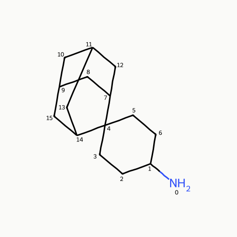 NC1CCC2(CC1)C1CC3CC(C1)CC2C3